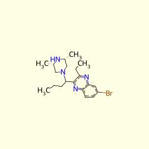 CCCC(c1nc2ccc(Br)cc2nc1CC)N1C[C@@H](C)N[C@@H](C)C1